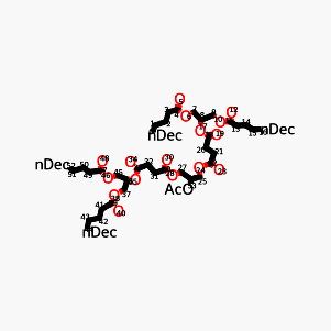 CCCCCCCCCCCCCC(=O)OCC(COC(=O)CCCCCCCCCCCCC)OC(=O)CCC(=O)OCC(COC(=O)CCC(=O)OC(COC(=O)CCCCCCCCCCCCC)COC(=O)CCCCCCCCCCCCC)OC(C)=O